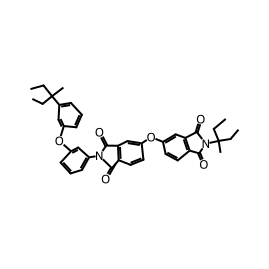 CCC(C)(CC)c1cccc(Oc2cccc(N3C(=O)c4ccc(Oc5ccc6c(c5)C(=O)N(C(C)(CC)CC)C6=O)cc4C3=O)c2)c1